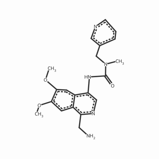 COc1cc2c(NC(=O)N(C)Cc3cccnc3)cnc(CN)c2cc1OC